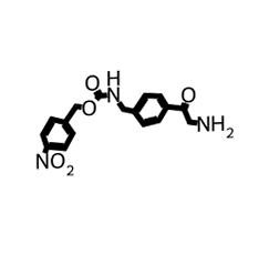 NCC(=O)c1ccc(CNC(=O)OCc2ccc([N+](=O)[O-])cc2)cc1